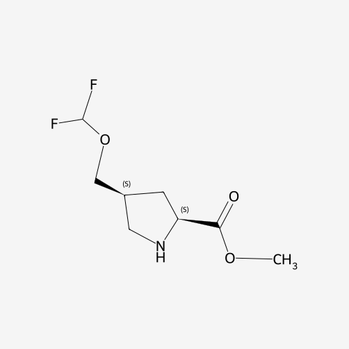 COC(=O)[C@@H]1C[C@H](COC(F)F)CN1